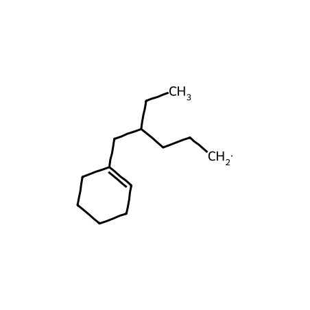 [CH2]CCC(CC)CC1=CCCCC1